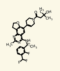 Cc1nc(N[C@H](C)c2cccc(C(F)F)c2F)c2cc(C3=CCN(C(=O)CC(C)(C)O)CC3)c3c(c2n1)CCO3